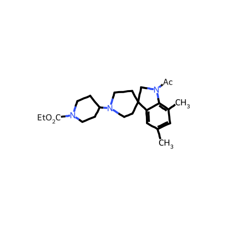 CCOC(=O)N1CCC(N2CCC3(CC2)CN(C(C)=O)c2c(C)cc(C)cc23)CC1